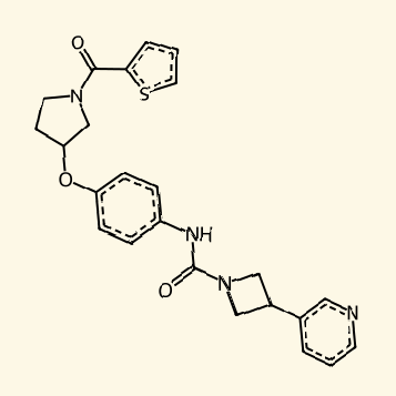 O=C(Nc1ccc(OC2CCN(C(=O)c3cccs3)C2)cc1)N1CC(c2cccnc2)C1